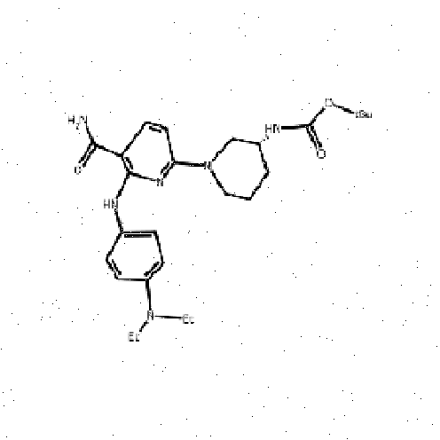 CCN(CC)c1ccc(Nc2nc(N3CCC[C@@H](NC(=O)OC(C)(C)C)C3)ccc2C(N)=O)cc1